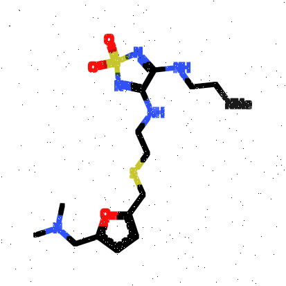 CNCCNC1=NS(=O)(=O)N=C1NCCSCc1ccc(CN(C)C)o1